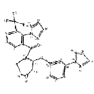 O=C(c1cccc(C(F)(F)F)c1-n1nccn1)N1CCOCC1Cc1cccc(-n2nccn2)c1